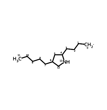 [CH2]CCCC1CC(CCCCC)CN1